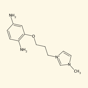 Cn1cc[n+](CCCOc2cc(N)ccc2N)c1